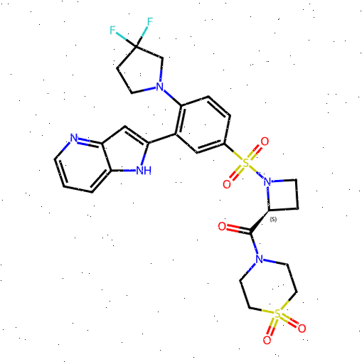 O=C([C@@H]1CCN1S(=O)(=O)c1ccc(N2CCC(F)(F)C2)c(-c2cc3ncccc3[nH]2)c1)N1CCS(=O)(=O)CC1